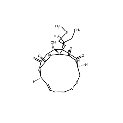 CCC(C)[C@H]1NC(=O)[C@H]2CSSCC/C=C/[C@H](CC(=O)N[C@H](CCSC)C(=O)N2)OC(=O)C[C@@H]1O